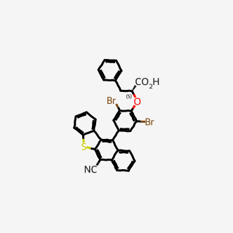 N#Cc1c2ccccc2c(-c2cc(Br)c(O[C@@H](Cc3ccccc3)C(=O)O)c(Br)c2)c2c1sc1ccccc12